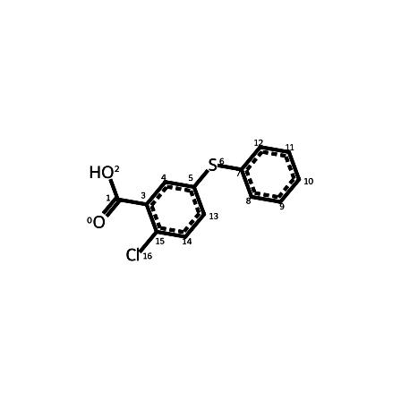 O=C(O)c1cc(Sc2ccccc2)ccc1Cl